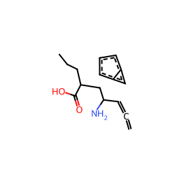 C=C=CC(N)CC(CCC)C(=O)O.c1cc2cc-2c1